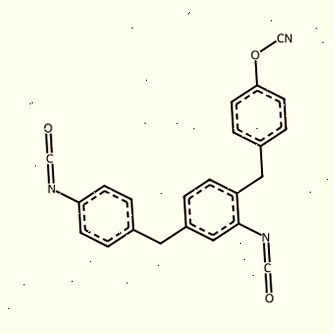 N#COc1ccc(Cc2ccc(Cc3ccc(N=C=O)cc3)cc2N=C=O)cc1